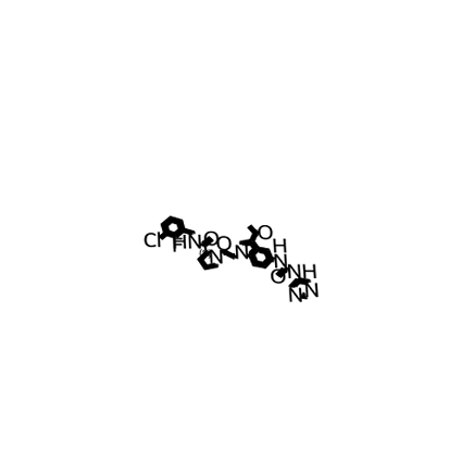 CC(=O)c1cn(CC(=O)N2CCC[C@H]2C(=O)NCc2cccc(Cl)c2F)c2ccc(NC(=O)Nc3cncnc3)cc12